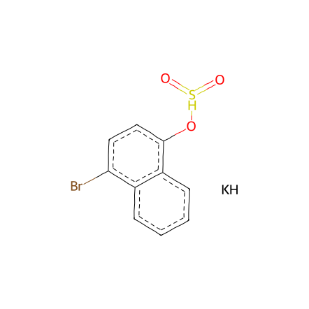 O=[SH](=O)Oc1ccc(Br)c2ccccc12.[KH]